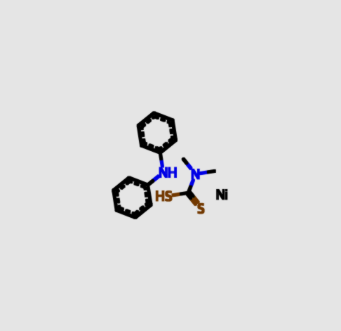 CN(C)C(=S)S.[Ni].c1ccc(Nc2ccccc2)cc1